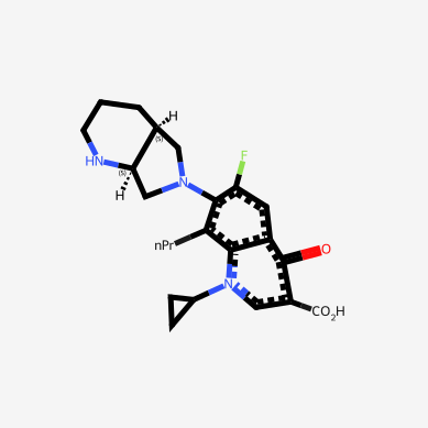 CCCc1c(N2C[C@@H]3CCCN[C@@H]3C2)c(F)cc2c(=O)c(C(=O)O)cn(C3CC3)c12